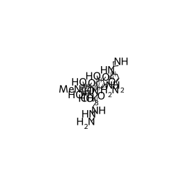 CN[C@@H]1[C@@H](O)[C@@H](O[C@H]2[C@H](NC(=O)[C@@H](O)CCNNCN)C[C@H](N)C(O[C@H]3OC(CN)=CC[C@H]3NC3CNC3)[C@@H]2O)OC[C@]1(C)O